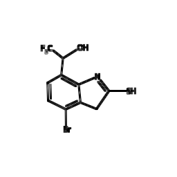 OC(c1ccc(Br)c2c1N=C(S)C2)C(F)(F)F